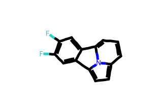 Fc1cc2c(cc1F)c1ccc3cccc2n31